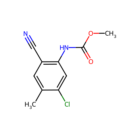 COC(=O)Nc1cc(Cl)c(C)cc1C#N